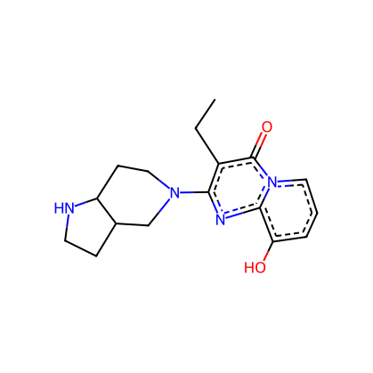 CCc1c(N2CCC3NCCC3C2)nc2c(O)cccn2c1=O